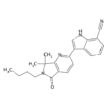 CCCCN1C(=O)c2ccc(-c3c[nH]c4c(C#N)cccc34)nc2C1(C)C